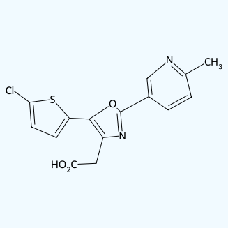 Cc1ccc(-c2nc(CC(=O)O)c(-c3ccc(Cl)s3)o2)cn1